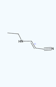 CCN/C=C/C#N